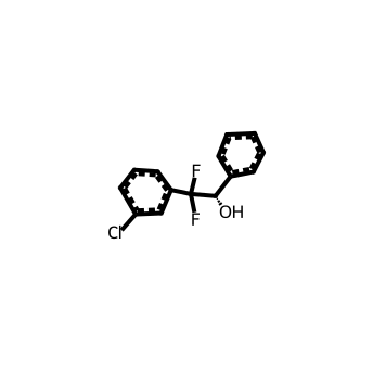 O[C@@H](c1ccccc1)C(F)(F)c1cccc(Cl)c1